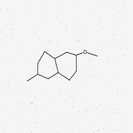 COC1CCC2CC(C)CCC2C1